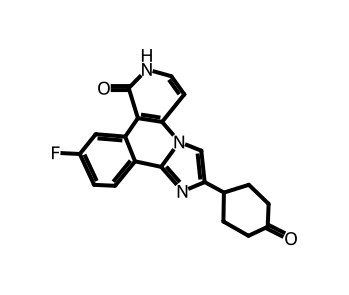 O=C1CCC(c2cn3c4cc[nH]c(=O)c4c4cc(F)ccc4c3n2)CC1